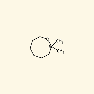 C[Si]1(C)CCCCCCO1